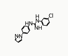 N=C(Nc1ccc(-n2cccn2)cc1)Nc1cccc(Cl)c1